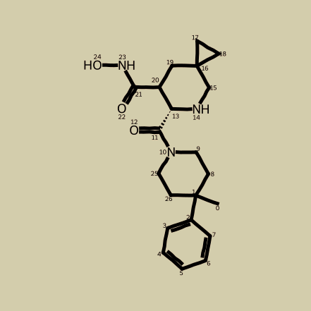 CC1(c2ccccc2)CCN(C(=O)[C@H]2NCC3(CC3)CC2C(=O)NO)CC1